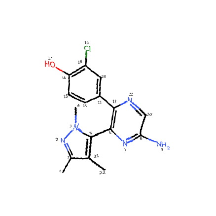 Cc1nn(C)c(-c2nc(N)cnc2-c2ccc(O)c(Cl)c2)c1C